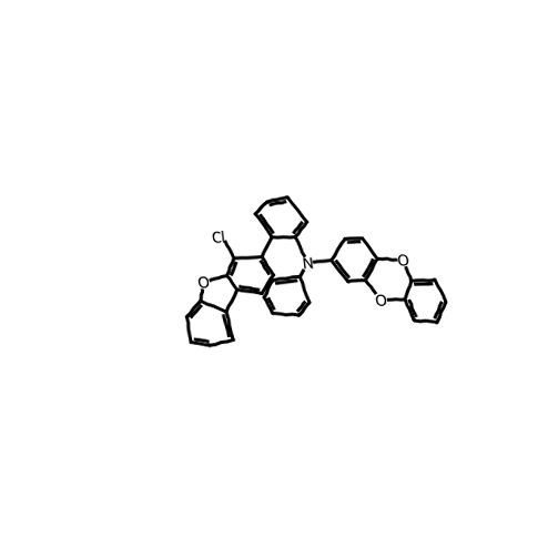 Clc1c(-c2ccccc2N(c2ccccc2)c2ccc3c(c2)Oc2ccccc2O3)ccc2c1oc1ccccc12